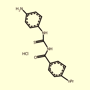 CCCc1ccc(C(=O)NC(=S)Nc2ccc(N)cc2)cc1.Cl